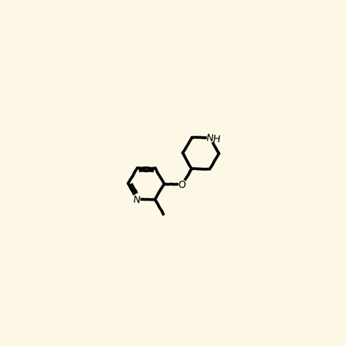 CC1N=CC=CC1OC1CCNCC1